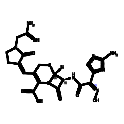 N=C(N)CN1CCC(=CC2=C(C(=O)O)N3C(=O)[C@@H](NC(=O)/C(=N\O)c4csc(N)n4)[C@H]3SC2)C1=O